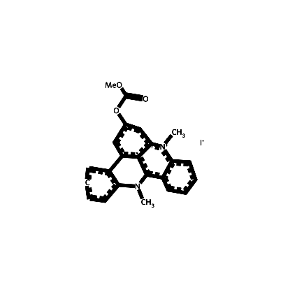 COC(=O)Oc1cc2c3c(c4ccccc4[n+](C)c3c1)N(C)c1ccccc1-2.[I-]